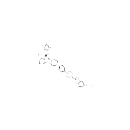 N#Cc1ccc2nc(N3CCN(c4ccc(-c5ccc(C(F)(F)[C@](O)(Cn6cnnn6)c6ccc(F)cc6F)nc5)cc4)CC3)[nH]c2c1